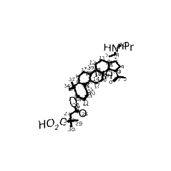 C=C(C)[C@@H]1CC[C@]2(CCNCCC)CC[C@]3(C)[C@H](CCC4[C@@]5(C)CC[C@H](OC(=O)CC(C)(C)C(=O)O)C(C)(C)C5CC[C@]43C)C12